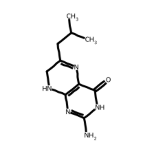 CC(C)CC1=Nc2c(nc(N)[nH]c2=O)NC1